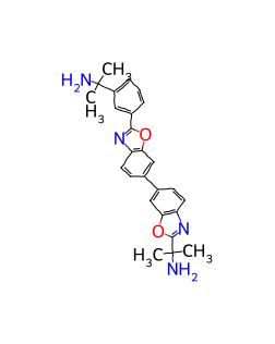 CC(C)(N)c1cccc(-c2nc3ccc(-c4ccc5nc(C(C)(C)N)oc5c4)cc3o2)c1